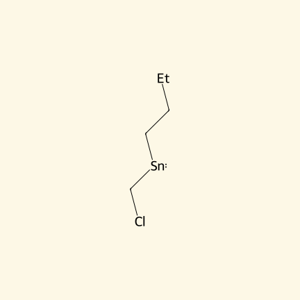 CCC[CH2][Sn][CH2]Cl